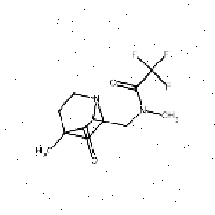 CN(CC1C(=O)C2(C)CCN1CC2)C(=O)C(F)(F)F